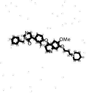 COc1cc2c(Oc3ccc(-c4cncn(Cc5ccccc5)c4=O)cc3F)ccnc2cc1OCCCN1CCCCC1